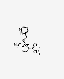 CC(C)[C@@]12CC[C@@](C)(O1)[C@@H](OCc1cccnn1)C2